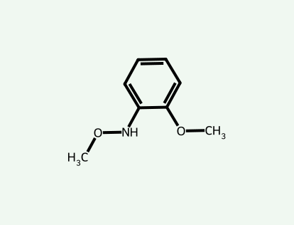 CONc1ccccc1OC